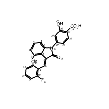 Cc1cccc2c1/C(=C\c1c(F)cccc1Cl)C(=O)N2c1ccc(C(=O)O)c(O)c1